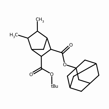 CC1C(C)C2CC1C(C(=O)OC(C)(C)C)C2C(=O)OC12CC3CC(CC(C3)C1)C2